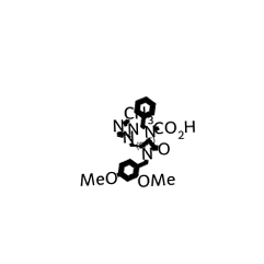 COc1ccc(CN2C(=O)[C@@H](N(Cc3ccccc3)C(=O)O)[C@@H]2Cn2cnc(C)n2)c(OC)c1